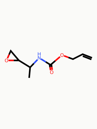 C=CCOC(=O)NC(C)C1CO1